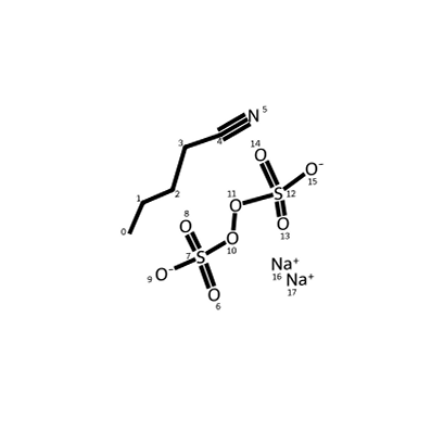 CCCCC#N.O=S(=O)([O-])OOS(=O)(=O)[O-].[Na+].[Na+]